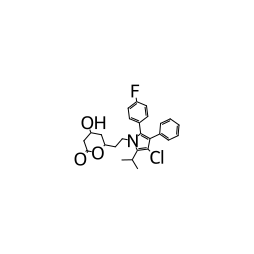 CC(C)c1c(Cl)c(-c2ccccc2)c(-c2ccc(F)cc2)n1CCC1CC(O)CC(=O)O1